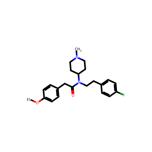 CCOc1ccc(CC(=O)N(CCc2ccc(F)cc2)C2CCN(C)CC2)cc1